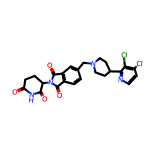 O=C1CCC(N2C(=O)c3ccc(CN4CCC(c5nccc(Cl)c5Cl)CC4)cc3C2=O)C(=O)N1